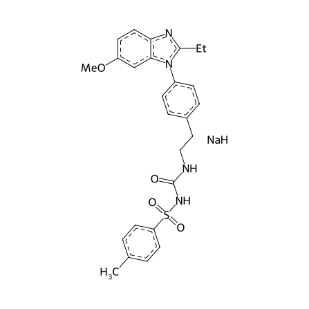 CCc1nc2ccc(OC)cc2n1-c1ccc(CCNC(=O)NS(=O)(=O)c2ccc(C)cc2)cc1.[NaH]